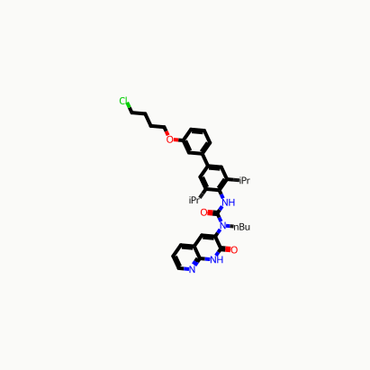 CCCCN(C(=O)Nc1c(C(C)C)cc(-c2cccc(OCCCCCl)c2)cc1C(C)C)c1cc2cccnc2[nH]c1=O